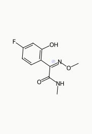 CNC(=O)/C(=N\OC)c1ccc(F)cc1O